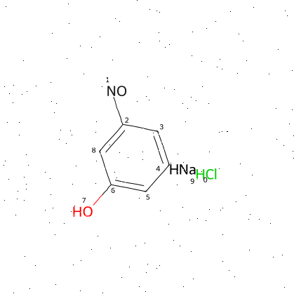 Cl.O=Nc1cccc(O)c1.[NaH]